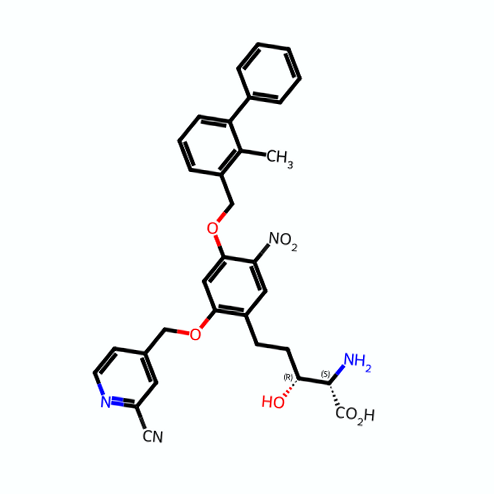 Cc1c(COc2cc(OCc3ccnc(C#N)c3)c(CC[C@@H](O)[C@H](N)C(=O)O)cc2[N+](=O)[O-])cccc1-c1ccccc1